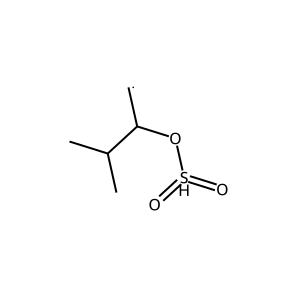 [CH2]C(O[SH](=O)=O)C(C)C